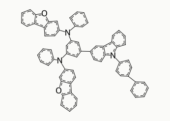 c1ccc(-c2ccc(-n3c4ccccc4c4cc(-c5cc(N(c6ccccc6)c6ccc7c(c6)oc6ccccc67)cc(N(c6ccccc6)c6ccc7c(c6)oc6ccccc67)c5)ccc43)cc2)cc1